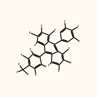 Fc1cc(-c2c3c(F)c(F)c(F)c(F)c3c(-c3c(F)c(F)c(C(F)(F)F)c(F)c3F)c3c(F)c(F)c(F)c(F)c23)cc(F)c1F